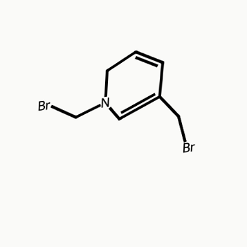 BrCC1=CN(CBr)CC=C1